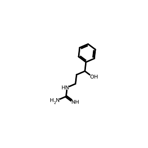 N=C(N)NCCC(O)c1ccccc1